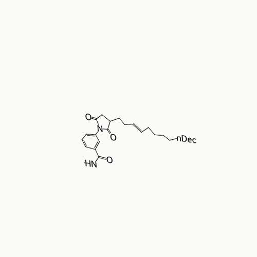 CCCCCCCCCCCCCCC=CCCC1CC(=O)N(c2cccc(C([NH])=O)c2)C1=O